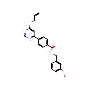 C=CCNc1cc(-c2ccc(C(=O)NCc3cccc(OC)c3)cc2)ncn1